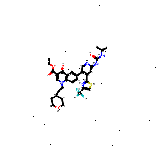 CCOC(=O)c1cn(CCC2CCOCC2)c2ccc(-c3cnc(NC(=O)NC(C)C)cc3-c3nc(C(F)(F)F)cs3)cc2c1=O